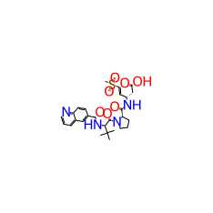 CC(C)(C)[C@@H](NC(=O)c1ccc2ncccc2c1)C(=O)N1CCC[C@@H]1C(=O)N[C@H](/C=C/S(C)(=O)=O)CC(=O)O